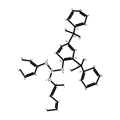 C/C=C\C=C(/C)OP(OC(/C=C\C)=C/C)Oc1ccc(C(C)(C)c2ccccc2)cc1C(C)(C)c1ccccc1